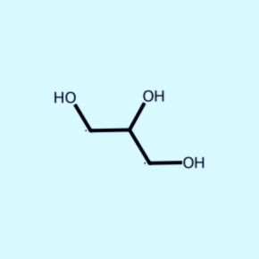 O[CH]C(O)[CH]O